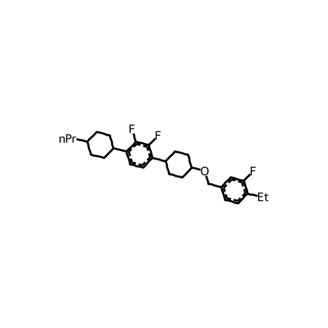 CCCC1CCC(c2ccc(C3CCC(OCc4ccc(CC)c(F)c4)CC3)c(F)c2F)CC1